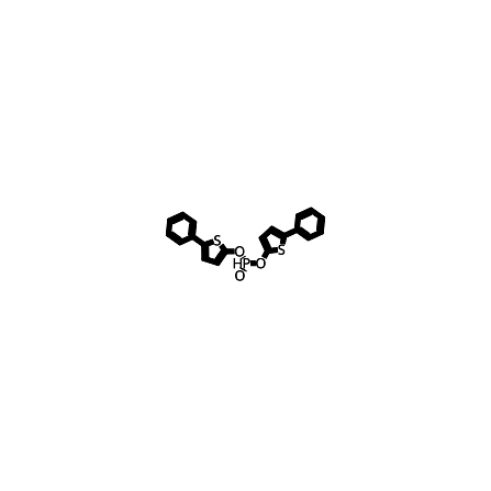 O=[PH](Oc1ccc(-c2ccccc2)s1)Oc1ccc(-c2ccccc2)s1